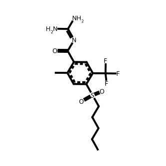 CCCCCS(=O)(=O)c1cc(C)c(C(=O)N=C(N)N)cc1C(F)(F)F